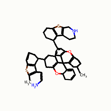 Cc1sc2c(c1/C=C\N)C(C1CCC3=C(C1)OC1CC=CC=C1C31C3=C(CCC(C)C3)Oc3cc(C4CCCc5sc6c(c54)CCNC6)ccc31)CC=C2